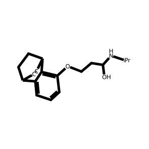 CC(C)NC(O)CCOc1cccc2c1C1CCC2CC1